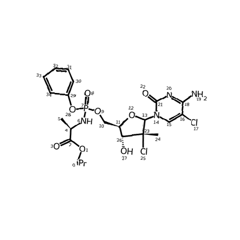 CC(C)OC(=O)[C@@H](C)NP(=O)(OC[C@H]1OC(n2cc(Cl)c(N)nc2=O)[C@](C)(Cl)[C@@H]1O)Oc1ccccc1